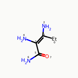 CC/C(N)=C(/N)C(N)=O